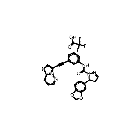 O=C(Nc1cccc(C#Cc2cnc3cccnn23)c1)N1N=CCC1c1ccc2c(c1)OCO2.O=C(O)C(F)(F)F